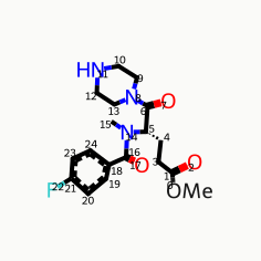 COC(=O)CC[C@@H](C(=O)N1CCNCC1)N(C)C(=O)c1ccc(F)cc1